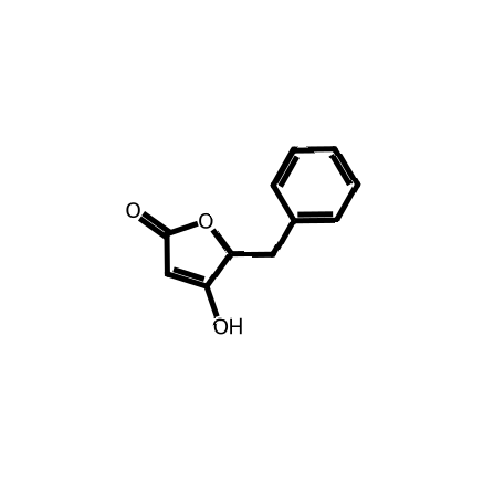 O=C1C=C(O)C(Cc2ccccc2)O1